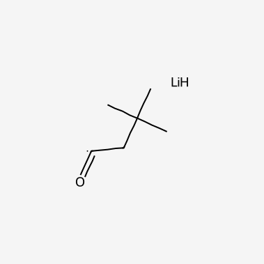 CC(C)(C)C[C]=O.[LiH]